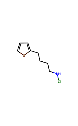 ClNCCCCc1cccs1